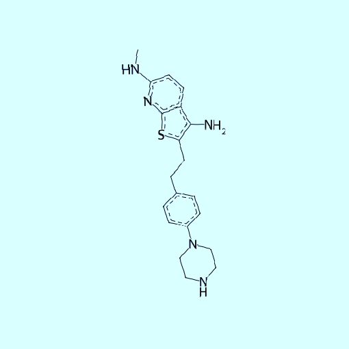 CNc1ccc2c(N)c(CCc3ccc(N4CCNCC4)cc3)sc2n1